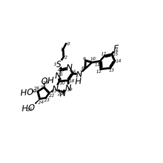 CCCSc1nc(NC2CC2c2cccc(F)c2)c2nnn([C@H]3C[C@@H](O)[C@H](O)[C@@H]3O)c2n1